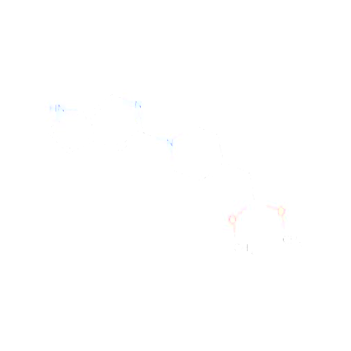 COC(CC1CCN(c2cc3cc[nH]c3cn2)CC1)OC